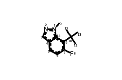 Cn1ncc2ccc(F)c(C(C)(C)C)c21